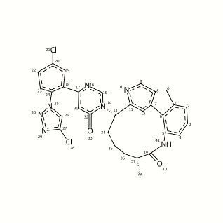 Cc1cccc2c1-c1ccnc(c1)[C@@H](n1cnc(-c3cc(Cl)ccc3-n3cc(Cl)nn3)cc1=O)CCC[C@@H](C)C(=O)N2